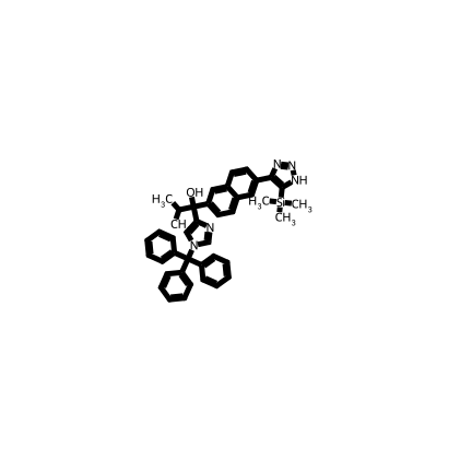 CC(C)C(O)(c1ccc2cc(-c3nn[nH]c3[Si](C)(C)C)ccc2c1)c1cn(C(c2ccccc2)(c2ccccc2)c2ccccc2)cn1